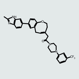 Cc1nc2ccc(-c3ccc4c(c3)C/C=C(/CC(=O)N3CCN(c5cccc(C(F)(F)F)c5)CC3)CCO4)cc2[nH]1